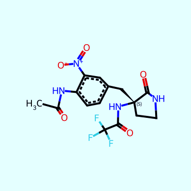 CC(=O)Nc1ccc(C[C@]2(NC(=O)C(F)(F)F)CCNC2=O)cc1[N+](=O)[O-]